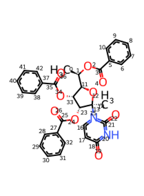 C[C@@H](OC(=O)c1ccccc1)[C@H]1O[C@@](C)(n2ccc(=O)[nH]c2=O)[C@H](OC(=O)c2ccccc2)[C@@H]1OC(=O)c1ccccc1